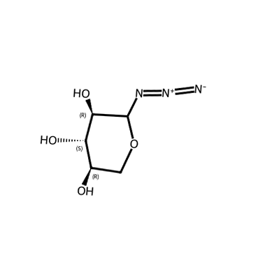 [N-]=[N+]=NC1OC[C@@H](O)[C@H](O)[C@H]1O